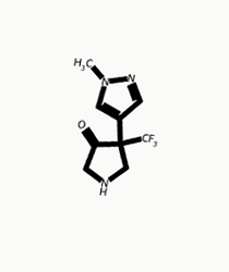 Cn1cc(C2(C(F)(F)F)CNCC2=O)cn1